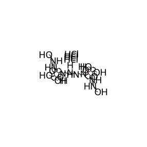 Cl.Cl.Cl.Cl.O=C1c2c(O)ccc(O)c2C(=O)c2c(NCCNCCNCCNc3ccc(NCCNCCO)c4c3C(=O)c3c(O)ccc(O)c3C4=O)ccc(NCCNCCO)c21